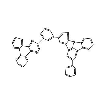 c1ccc(-c2cc3c4ccccc4n4c5ccc(-c6cccc(-c7cnc8c9ccccc9c9ccccc9c8n7)c6)cc5c(c2)c34)cc1